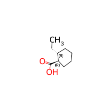 CC[C@@H]1CCCC[C@H]1C(=O)O